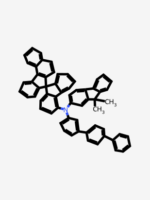 CC1(C)c2ccccc2-c2ccc(N(c3cccc(-c4ccc(-c5ccccc5)cc4)c3)c3cccc4c3-c3ccccc3C43c4ccccc4-c4c3ccc3ccccc43)cc21